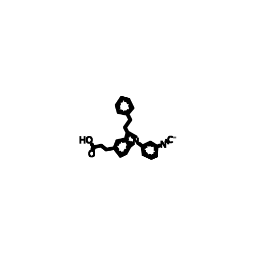 [C-]#[N+]c1cccc(-n2cc(CCc3ccccc3)c3cc(CCC(=O)O)ccc32)c1